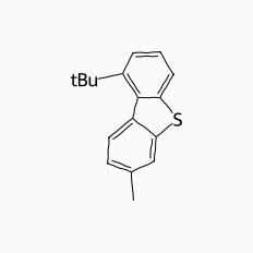 Cc1ccc2c(c1)sc1cccc(C(C)(C)C)c12